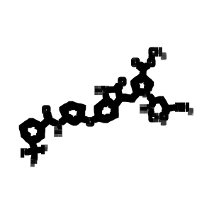 CNC(CC(N)=O)n1cc(C(=O)OC)cc1C=C1C(=O)Nc2cc(Oc3cccc(NC(=O)c4cccc(C(F)(F)F)c4)c3)ccc21